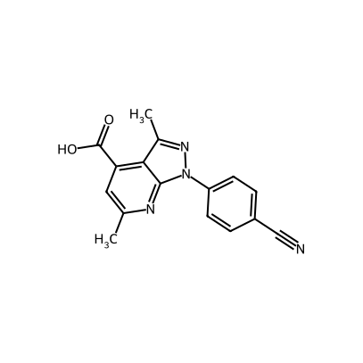 Cc1cc(C(=O)O)c2c(C)nn(-c3ccc(C#N)cc3)c2n1